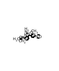 COc1nc(N2CCOCC2)ccc1-c1nc(N)nc2c(NCC(C)(C)C)nccc12